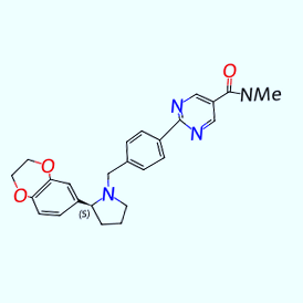 CNC(=O)c1cnc(-c2ccc(CN3CCC[C@H]3c3ccc4c(c3)OCCO4)cc2)nc1